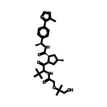 Cc1ncsc1-c1ccc([C@H](C)NC(=O)[C@@H]2C[C@@H](C)CN2C(=O)C(NC(=O)COC(C)(C)CO)C(C)(C)C)cc1